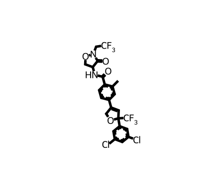 Cc1cc(C2=CC(c3cc(Cl)cc(Cl)c3)(C(F)(F)F)OC2)ccc1C(=O)NC1CON(CC(F)(F)F)C1=O